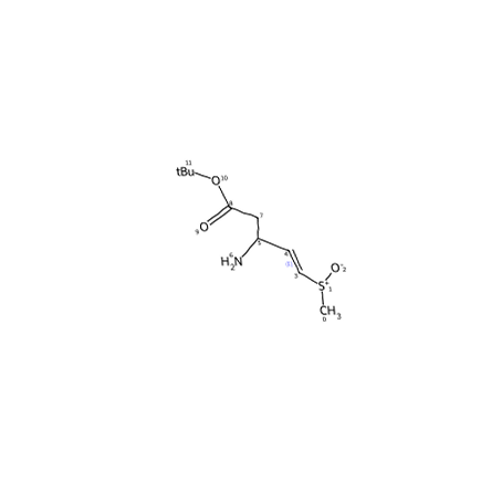 C[S+]([O-])/C=C/C(N)CC(=O)OC(C)(C)C